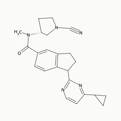 CN(C(=O)c1ccc2c(c1)CCC2c1nccc(C2CC2)n1)[C@@H]1CCN(C#N)C1